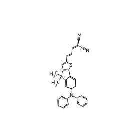 CC1(C)C2=CC(N(c3ccccc3)c3ccccc3)CC=C2c2sc(/C=C/C=C(C#N)C#N)cc21